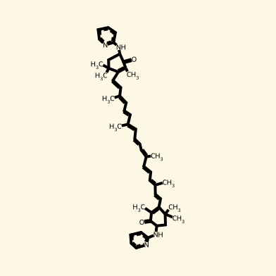 CC1=C(/C=C/C(C)=C/C=C/C(C)=C/C=C/C=C(C)/C=C/C=C(C)/C=C/C2=C(C)C(=O)C(Nc3ccccn3)CC2(C)C)C(C)(C)CC(Nc2ccccn2)C1=O